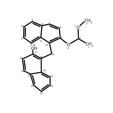 COC(C)Oc1ccc2ccccc2c1Cc1c(O)ccc2ccccc12